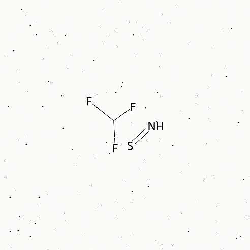 FC(F)F.N=S